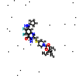 CC(C)(C)OC(=O)N1CCC(SCc2nc3cc(NC4CCCC4)c(F)c(F)c3c(=O)[nH]2)CC1